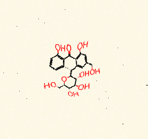 O=C1c2c(O)cccc2[C@@H]([C@@H]2O[C@H](CO)[C@@H](O)[C@H](O)[C@H]2O)c2cc(CO)cc(O)c21